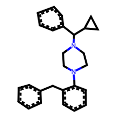 c1ccc(Cc2ccccc2N2CCN(C(c3ccccc3)C3CC3)CC2)cc1